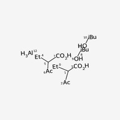 CCC(C(C)=O)C(=O)O.CCC(C(C)=O)C(=O)O.CCC(C)O.CCC(C)O.[AlH3]